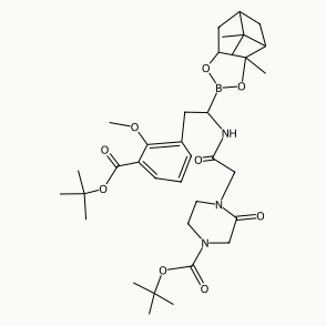 COc1c(CC(NC(=O)CN2CCN(C(=O)OC(C)(C)C)CC2=O)B2OC3CC4CC(C4(C)C)C3(C)O2)cccc1C(=O)OC(C)(C)C